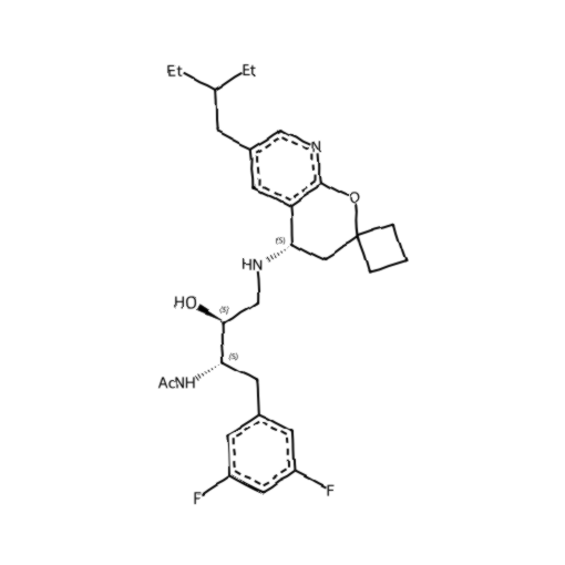 CCC(CC)Cc1cnc2c(c1)[C@@H](NC[C@H](O)[C@H](Cc1cc(F)cc(F)c1)NC(C)=O)CC1(CCC1)O2